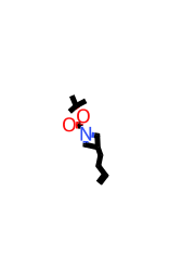 C=CCCC1CN(C(=O)OC(C)(C)C)C1